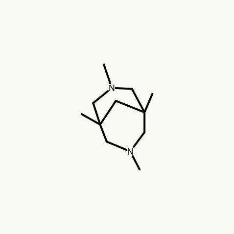 CN1CC2(C)CN(C)CC(C)(C1)C2